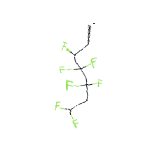 [CH2]C[C@H](F)C(F)(F)C(F)(F)CC(F)F